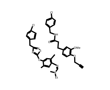 C#CCOc1ccc(CCC(=O)NCc2ccc(Cl)cc2)cc1OC.CCN(C)/C=N\c1cc(C)c(Oc2nc(Cc3ccc(Cl)cc3)ns2)cc1C